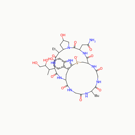 CCC(C)C1NC(=O)CNC(=O)C2Cc3c([nH]c4cc(O)ccc34)[S+]([O-])CC(NC(=O)CNC1=O)C(=O)NC(CC(N)=O)C(=O)N1CC(O)CC1C(CC)C(=O)NC(C(C)C(O)CO)C(=O)N2